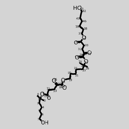 CC(C)(CCCCCO)OC(=O)CCC(=O)C(=O)OCCCCCC(C)(C)OC(=O)C(=O)CCC(=O)OCCCCCCO